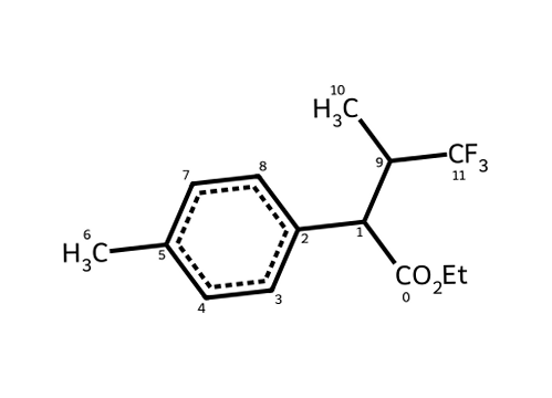 CCOC(=O)C(c1ccc(C)cc1)C(C)C(F)(F)F